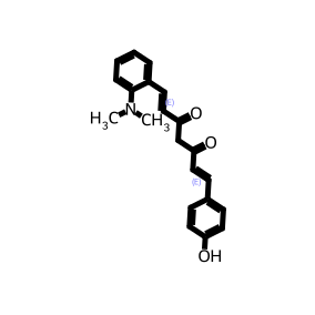 CN(C)c1ccccc1/C=C/C(=O)CC(=O)/C=C/c1ccc(O)cc1